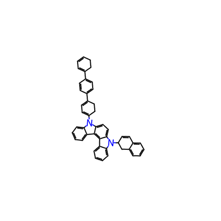 C1=CCCC(c2ccc(C3=CC=C(n4c5ccccc5c5c6c7ccccc7n(C7C=Cc8ccccc8C7)c6ccc54)CC3)cc2)=C1